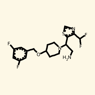 NCC(c1scnc1C(F)F)N1CCC(OCc2cc(F)cc(F)c2)CC1